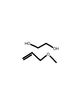 C=CCOC.OCCO